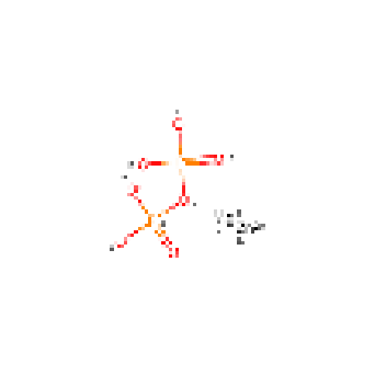 O=P([O-])([O-])OP(=O)([O-])[O-].[Mg+2].[Zn+2]